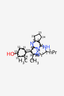 CCCC(CCC)Nc1c2c(nc3c(-c4ccc(O)cc4C)c(C)nn13)CCC2